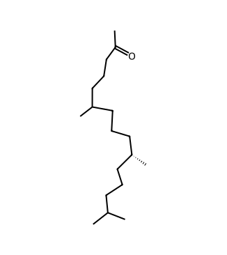 CC(=O)CCCC(C)CCC[C@H](C)CCCC(C)C